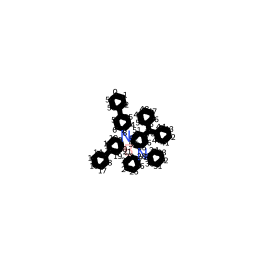 c1ccc(-c2ccc(N3c4ccc(-c5ccccc5)cc4B4c5ccccc5N(c5ccccc5)c5cc(C(c6ccccc6)c6ccccc6)cc3c54)cc2)cc1